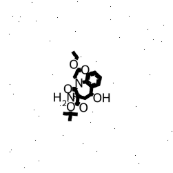 CCOC(=O)CN1C(=O)[C@](N)(C(=O)OC(C)(C)C)CC(O)c2ccccc21